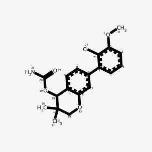 COc1cccc(-c2ccc3c(c2)OCC(C)(C)C3OC(N)=O)c1Cl